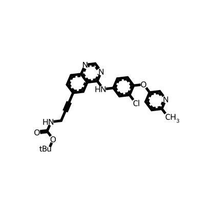 Cc1ccc(Oc2ccc(Nc3ncnc4ccc(C#CCNC(=O)OC(C)(C)C)cc34)cc2Cl)cn1